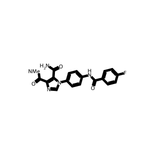 CNC(=O)c1ncn(-c2ccc(NC(=O)c3ccc(F)cc3)cc2)c1C(N)=O